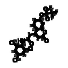 O=C(Cc1cc(=O)oc2cc(OS(=O)(=O)C(F)(F)F)ccc12)Nc1c(Cl)cc(Cl)cc1Cl